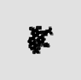 COc1cc(-c2ccc3ncc(S(C)(=O)=O)c(Nc4ccc(OCCN(C)C)nc4)c3n2)cc(Cl)c1O.Cl.Cl